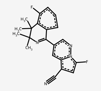 CC1(C)N=C(c2cnn3c(F)cc(C#N)c3c2)c2cccc(F)c2C1(C)C